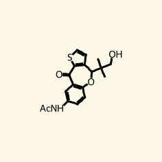 CC(=O)Nc1ccc2c(c1)C(=O)c1sccc1C(C(C)(C)CO)O2